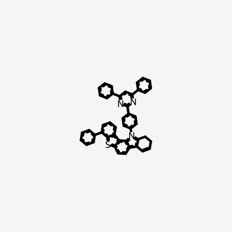 C1=Cc2c(n(-c3ccc(-c4nc(-c5ccccc5)cc(-c5ccccc5)n4)cc3)c3c2ccc2sc4c(-c5ccccc5)cccc4c23)CC1